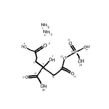 N.N.O=C(O)CC(O)(CC(=O)OP(=O)(O)O)C(=O)O